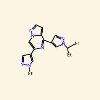 [CH2]Cn1cc(-c2cn3nccc3c(-c3cnn(C(CC)CC)c3)n2)cn1